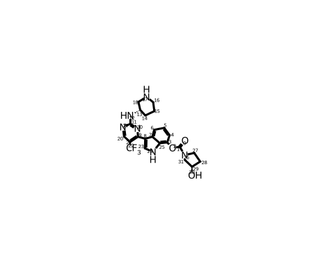 O=C(Oc1cccc2c(-c3nc(N[C@H]4CCCNC4)ncc3C(F)(F)F)c[nH]c12)N1CC[C@@H](O)C1